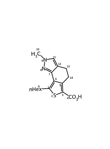 CCCCCCc1sc(C(=O)O)c2c1-c1nn(C)cc1CC2